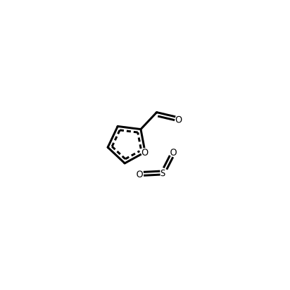 O=Cc1ccco1.O=S=O